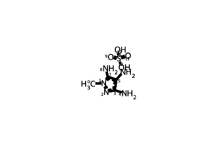 Cn1nc(N)c(N)c1N.O=S(=O)(O)O